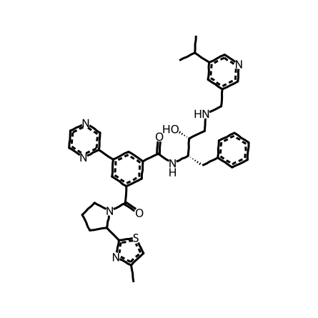 Cc1csc(C2CCCN2C(=O)c2cc(C(=O)N[C@@H](Cc3ccccc3)[C@H](O)CNCc3cncc(C(C)C)c3)cc(-c3cnccn3)c2)n1